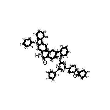 O=c1[nH]c2cc3c(cc2c2cc4c5ccccc5n(-c5nc(-c6ccccc6)nc(-c6ccc7c(c6)oc6ccccc67)n5)c4cc12)c1ccccc1n3-c1ccccc1